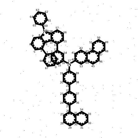 c1ccc(-c2cccc3c2c2c(-c4cccc(N(c5ccc(-c6ccc(-c7cccc8ccccc78)cc6)cc5)c5ccc6c(ccc7ccccc76)c5)c4)cccc2n3-c2ccccc2)cc1